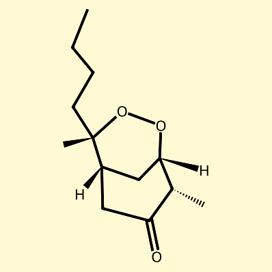 CCCC[C@]1(C)OO[C@H]2C[C@@H]1CC(=O)[C@H]2C